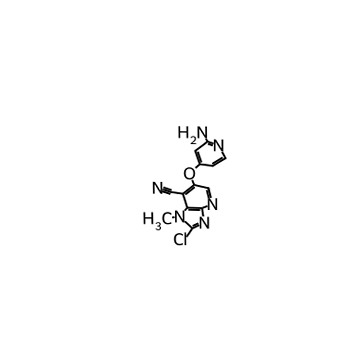 Cn1c(Cl)nc2ncc(Oc3ccnc(N)c3)c(C#N)c21